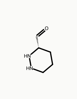 O=C[C@@H]1CCCNN1